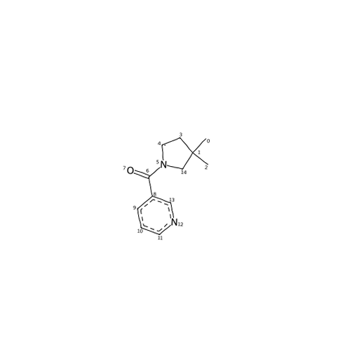 CC1(C)C[CH]N(C(=O)c2cccnc2)C1